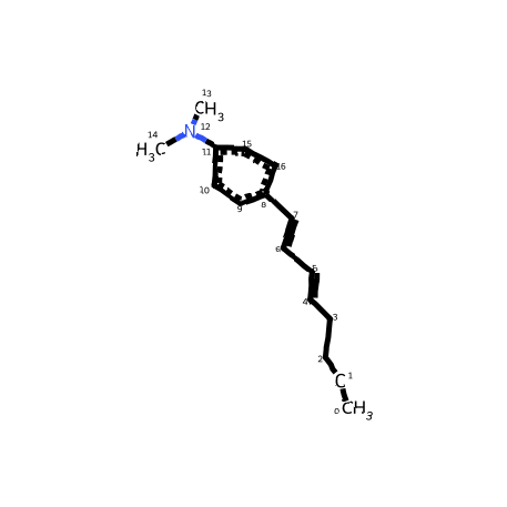 CCCC[C]=CC=Cc1ccc(N(C)C)cc1